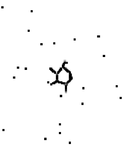 CCC1C=CN(C)C(C)N1C